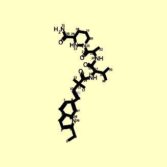 CCc1ccc2ccc(/C=C/C(C)(C)C(=O)NC(C(=O)NC(C)C(=O)N3CCCC(C(N)=O)N3)C(C)C)cc2n1